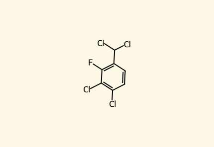 Fc1c(C(Cl)Cl)ccc(Cl)c1Cl